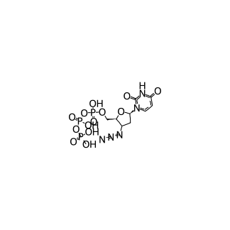 [N-]=[N+]=NC1C[C@H](n2ccc(=O)[nH]c2=O)O[C@@H]1COP(=O)(O)OP(=O)(O)OP(=O)(O)O